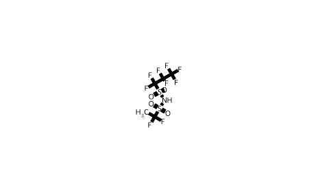 CC(F)(F)S(=O)(=O)NS(=O)(=O)C(F)(F)C(F)(F)C(F)(F)F